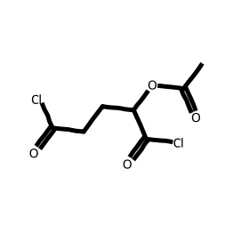 CC(=O)OC(CCC(=O)Cl)C(=O)Cl